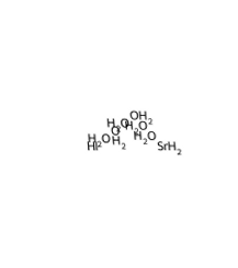 I.O.O.O.O.O.O.[SrH2]